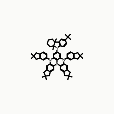 CC1(C)Cc2ccc(N3c4cc5c(cc4B4c6cc7c(cc6N(c6ccc8c(c6)CC(C)(C)C8)c6cc(N8c9ccc(C(C)(C)C)cc9C9(C)CCCCC89C)cc3c64)CC(C)(C)C7)CC(C)(C)C5)cc2C1